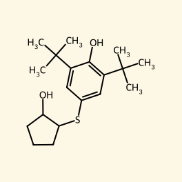 CC(C)(C)c1cc(SC2CCCC2O)cc(C(C)(C)C)c1O